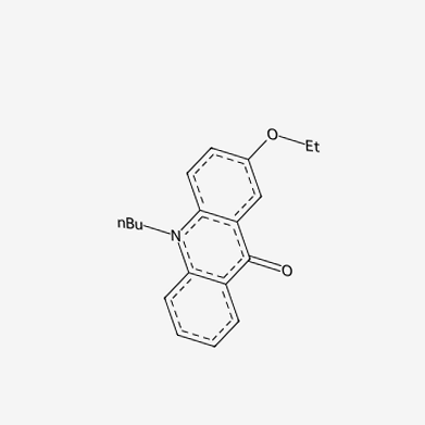 CCCCn1c2ccccc2c(=O)c2cc(OCC)ccc21